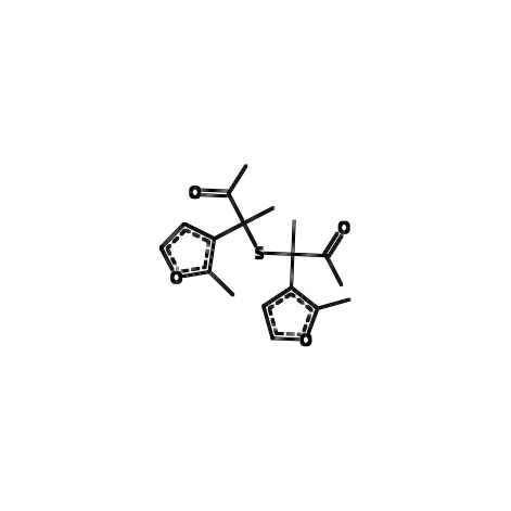 CC(=O)C(C)(SC(C)(C(C)=O)c1ccoc1C)c1ccoc1C